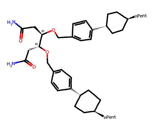 CCCCC[C@H]1CC[C@H](c2ccc(CO[C@H](CC(N)=O)[C@@H](CC(N)=O)OCc3ccc([C@H]4CC[C@H](CCCCC)CC4)cc3)cc2)CC1